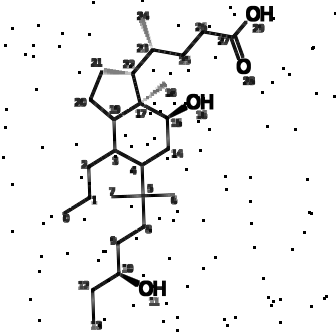 CCCC1C(C(C)(C)CC[C@@H](O)CC)C[C@H](O)[C@@]2(C)C1CC[C@@H]2[C@H](C)CCC(=O)O